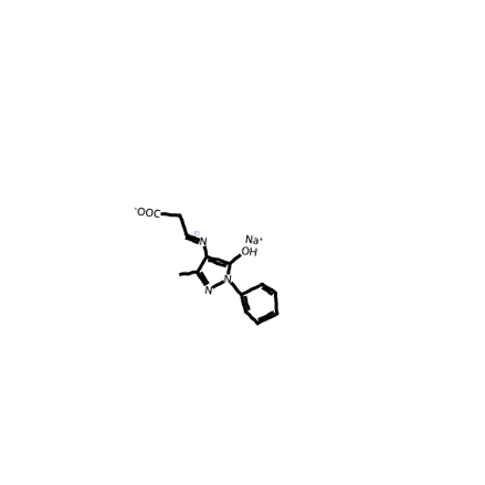 Cc1nn(-c2ccccc2)c(O)c1/N=C/CC(=O)[O-].[Na+]